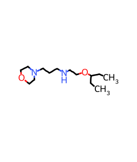 CCC(CC)OCCNCCCN1CCOCC1